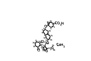 O=C(O)c1ccc(Oc2ccc3cc(OCc4c(-c5c(Cl)cccc5Cl)noc4C4CC4)ccc3c2)nc1.[CaH2]